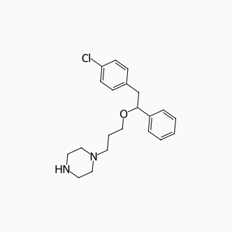 Clc1ccc(CC(OCCCN2CCNCC2)c2ccccc2)cc1